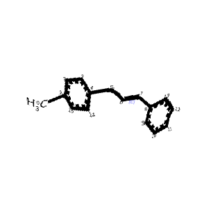 Cc1ccc([CH]/C=C/c2ccccc2)cc1